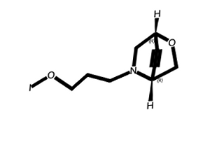 IOCCCN1C[C@H]2C#C[C@@H]1CO2